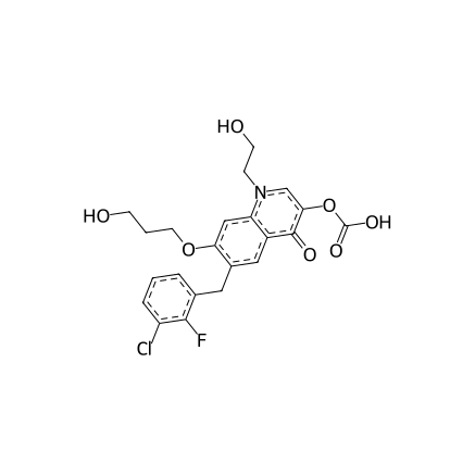 O=C(O)Oc1cn(CCO)c2cc(OCCCO)c(Cc3cccc(Cl)c3F)cc2c1=O